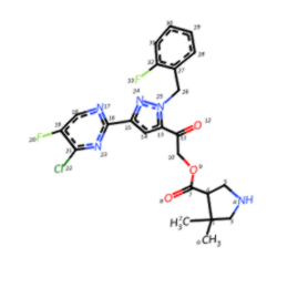 CC1(C)CNCC1C(=O)OCC(=O)c1cc(-c2ncc(F)c(Cl)n2)nn1Cc1ccccc1F